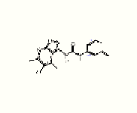 C=C/C=C(\C=C/C)NC(=O)Nc1noc2nc(C)c(Cl)c(C)c12